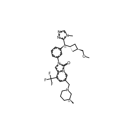 COC[C@H]1C[C@H]([C@@H](c2cccc(-n3cc4c(C(F)(F)F)cc(CN5CCC[C@H](C)C5)cn4c3=O)c2)c2nncn2C)C1